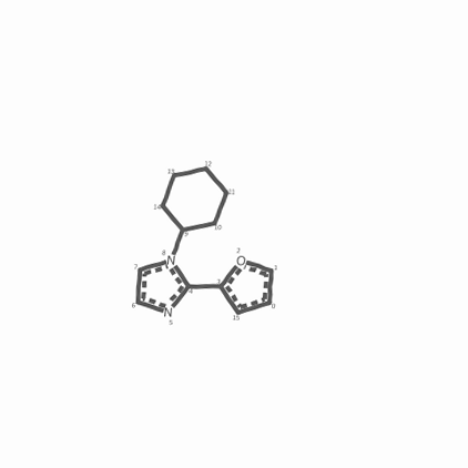 c1coc(-c2nccn2C2CCCCC2)c1